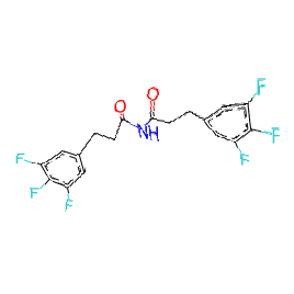 O=C(CCc1cc(F)c(F)c(F)c1)NC(=O)CCc1cc(F)c(F)c(F)c1